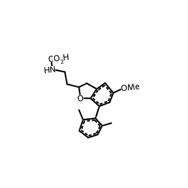 COc1cc2c(c(-c3c(C)cccc3C)c1)OC(CCNC(=O)O)C2